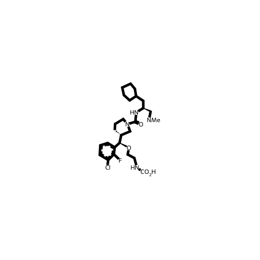 CNC[C@H](CC1CCCCC1)NC(=O)N1CCC[C@@H]([C@@H](OCCNC(=O)O)c2cccc(Cl)c2F)C1